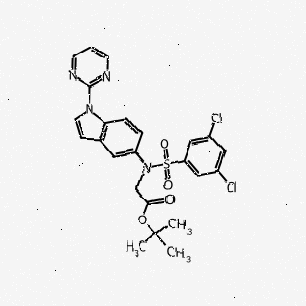 CC(C)(C)OC(=O)CN(c1ccc2c(ccn2-c2ncccn2)c1)S(=O)(=O)c1cc(Cl)cc(Cl)c1